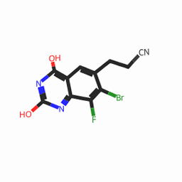 N#CCCc1cc2c(O)nc(O)nc2c(F)c1Br